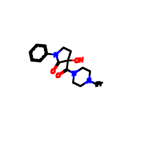 CC(C)N1CCN(C(=O)C2(O)CCN(c3ccccc3)C2=O)CC1